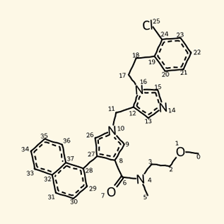 COCCN(C)C(=O)c1cn(Cc2cncn2CCc2ccccc2Cl)cc1-c1cccc2ccccc12